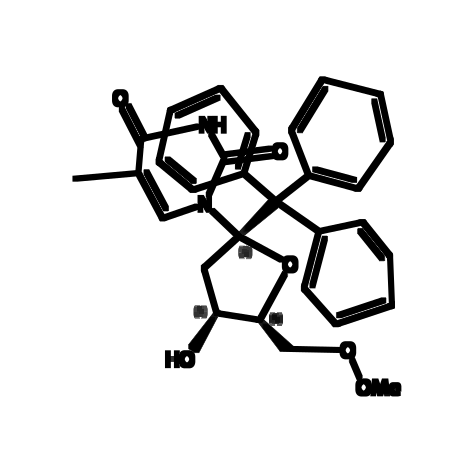 COOC[C@@H]1O[C@](n2cc(C)c(=O)[nH]c2=O)(C(c2ccccc2)(c2ccccc2)c2ccccc2)C[C@@H]1O